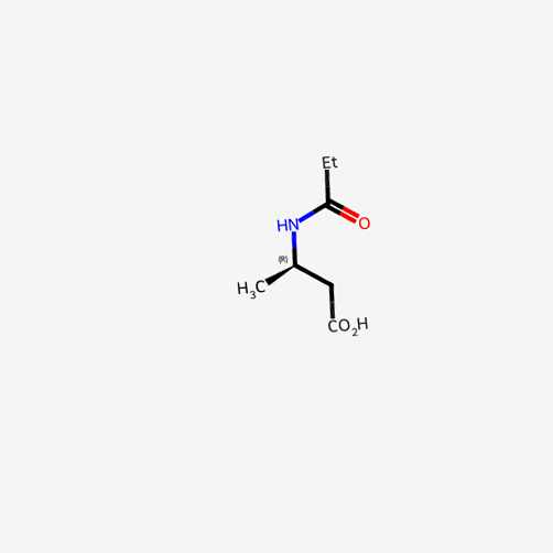 CCC(=O)N[C@H](C)CC(=O)O